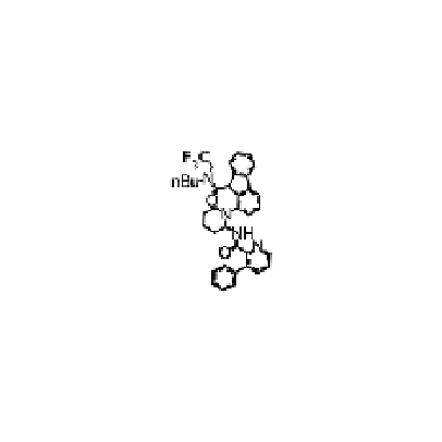 CCCCN(CC(F)(F)F)C(=O)C1c2ccccc2-c2cccc(N3CCCCC3NC(=O)c3ncccc3-c3ccccc3)c21